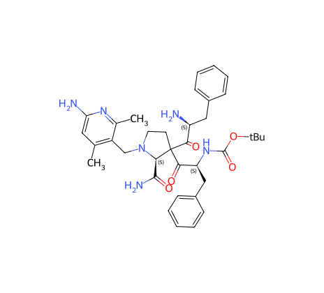 Cc1cc(N)nc(C)c1CN1CCC(C(=O)[C@H](Cc2ccccc2)NC(=O)OC(C)(C)C)(C(=O)[C@@H](N)Cc2ccccc2)[C@H]1C(N)=O